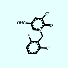 O=Cc1cc(Cl)c(=O)n(Cc2c(F)cccc2Cl)c1